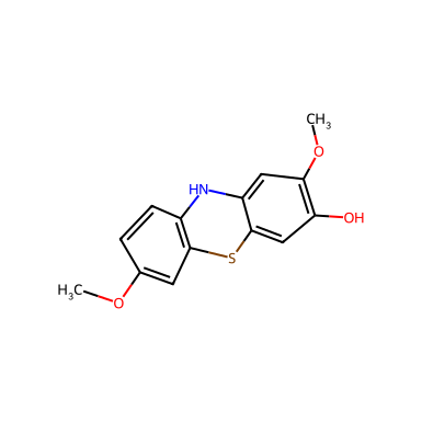 COc1ccc2c(c1)Sc1cc(O)c(OC)cc1N2